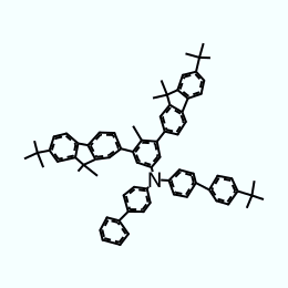 Cc1c(-c2ccc3c(c2)C(C)(C)c2cc(C(C)(C)C)ccc2-3)cc(N(c2ccc(-c3ccccc3)cc2)c2ccc(-c3ccc(C(C)(C)C)cc3)cc2)cc1-c1ccc2c(c1)C(C)(C)c1cc(C(C)(C)C)ccc1-2